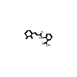 C=c1cccc(C=CC(=O)Nc2ccccc2C(=O)O)c1=C